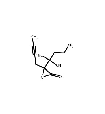 CC#CCC1(C(C#N)(C#N)CCC(F)(F)F)OC1=O